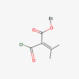 CCOC(=O)C(C(=O)Cl)=C(C)C